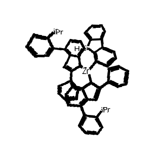 CC(C)c1ccccc1-c1cccc2c1C=C(c1ccccc1)[CH]2[Zr]([c]1cccc2c1[SiH2]c1ccccc1-2)[CH]1C(c2ccccc2)=Cc2c(-c3ccccc3C(C)C)cccc21